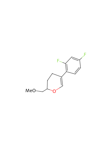 COCC1CCC(c2ccc(F)cc2F)=CO1